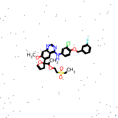 CCS(=O)(=O)CCOC(C)C1(c2cc3c(Nc4ccc(OCc5cccc(F)c5)c(Cl)c4)ncnc3cc2OC)CC=CO1